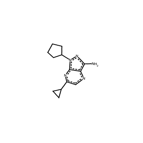 Nc1nn(C2CCCC2)c2nc(C3CC3)cnc12